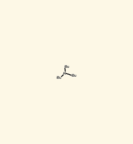 CC[CH](C)[Al]([CH](C)CC)[CH](C)CC